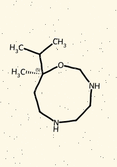 CC(C)[C@]1(C)CCNCCNCO1